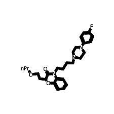 CCCOCCC1Oc2ccccc2N(CCCCN2CCN(c3ccc(F)cc3)CC2)C1=O